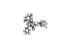 CN(C)CCN1C[C@H]2C(c3cc(F)ccc3F)=C[C@@H](c3ccccc3)N2C1=O